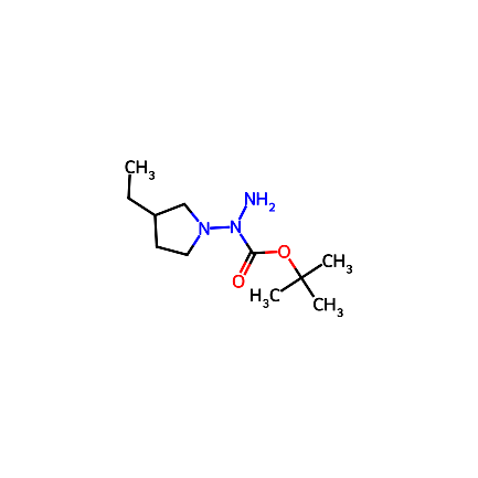 CCC1CCN(N(N)C(=O)OC(C)(C)C)C1